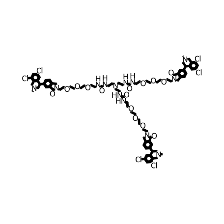 CN1Cc2c(Cl)cc(Cl)cc2C(c2ccc3c(c2)C(=O)N(CCOCCOCCOCCNC(=O)NCCN(CCNC(=O)NCCOCCOCCOCCN2Cc4ccc(C5CN(C)Cc6c(Cl)cc(Cl)cc65)cc4C2=O)CCNC(=O)NCCOCCOCCOCCN2Cc4ccc(C5CN(C)Cc6c(Cl)cc(Cl)cc65)cc4C2=O)C3)C1